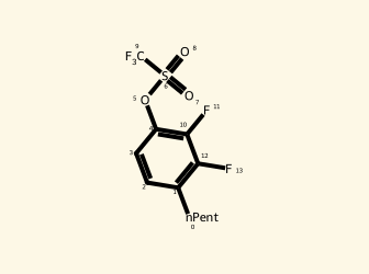 CCCCCc1ccc(OS(=O)(=O)C(F)(F)F)c(F)c1F